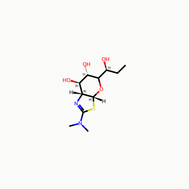 CC[C@H](O)C1O[C@@H]2SC(N(C)C)=N[C@@H]2[C@@H](O)[C@@H]1O